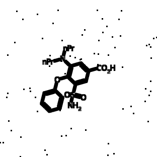 CCCN(CCC)c1cc(C(=O)O)cc(S(N)(=O)=O)c1Oc1ccccc1